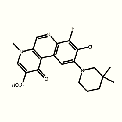 Cn1cc(C(=O)O)c(=O)c2c3cc(N4CCCC(C)(C)C4)c(Cl)c(F)c3ncc21